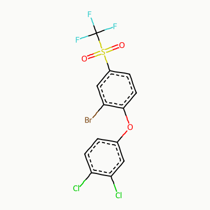 O=S(=O)(c1ccc(Oc2ccc(Cl)c(Cl)c2)c(Br)c1)C(F)(F)F